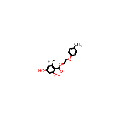 Cc1ccc(OCCOC(=O)c2c(C)cc(O)cc2O)cc1